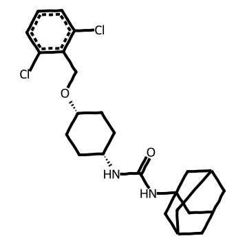 O=C(NC12CC3CC(CC(C3)C1)C2)N[C@H]1CC[C@@H](OCc2c(Cl)cccc2Cl)CC1